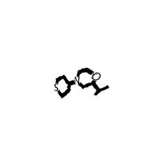 CC(C)C1CN(C2CCSCC2)CCO1